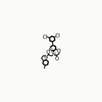 Cc1ccc2c(c1)CCN2C(=O)CN1C(=O)COc2cc(-c3cc(Cl)cc(Cl)c3)cnc21